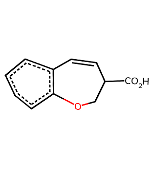 O=C(O)C1C=Cc2ccccc2OC1